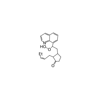 CC/C=C\CC1C(=O)CCC1CC(OO)c1cccc2cccnc12